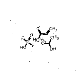 C=CC(=O)O.CC(C)O.O=P(O)(F)F